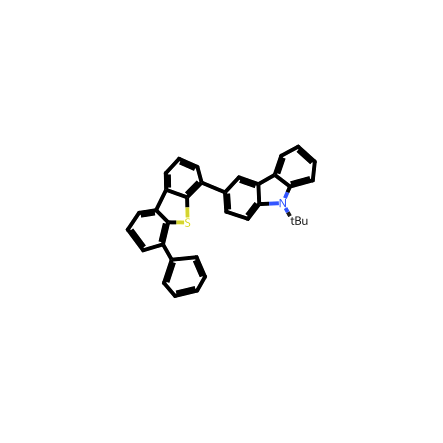 CC(C)(C)n1c2ccccc2c2cc(-c3cccc4c3sc3c(-c5ccccc5)cccc34)ccc21